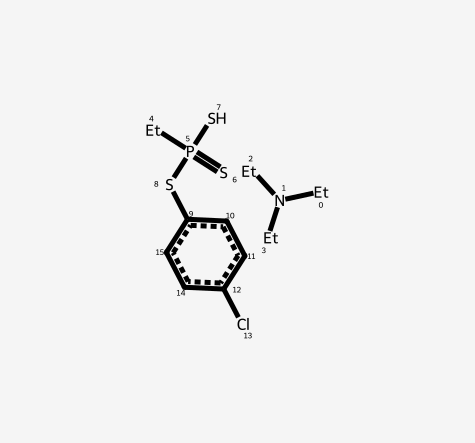 CCN(CC)CC.CCP(=S)(S)Sc1ccc(Cl)cc1